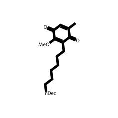 CCCCCCCCCCCCCCCCC1=C(OC)C(=O)C=C(C)C1=O